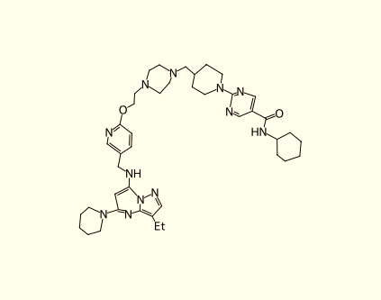 CCc1cnn2c(NCc3ccc(OCCN4CCN(CC5CCN(c6ncc(C(=O)NC7CCCCC7)cn6)CC5)CC4)nc3)cc(N3CCCCC3)nc12